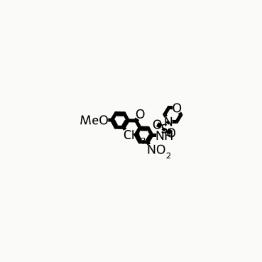 COc1ccc(C(=O)c2ccc([N+](=O)[O-])c(NS(=O)(=O)N3CCOCC3)c2)c(C)c1